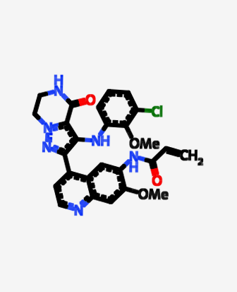 C=CC(=O)Nc1cc2c(-c3nn4c(c3Nc3cccc(Cl)c3OC)C(=O)NCC4)ccnc2cc1OC